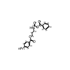 CCCc1ccc(C(=O)OCCCNC(=O)OC(=O)c2ccccc2)cc1